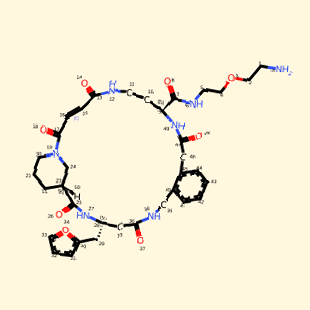 NCCOCCNC(=O)[C@@H]1CCNC(=O)/C=C/C(=O)N2CCC[C@H](C2)C(=O)N[C@@H](Cc2ccco2)CC(=O)NCc2ccccc2CC(=O)N1